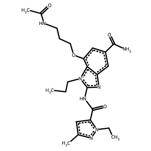 CCCn1c(NC(=O)c2cc(C)nn2CC)nc2cc(C(N)=O)cc(OCCCNC(C)=O)c21